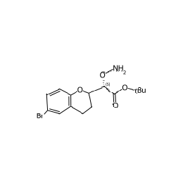 CC(C)(C)OC(=O)[C@@H](ON)C1CCc2cc(Br)ccc2O1